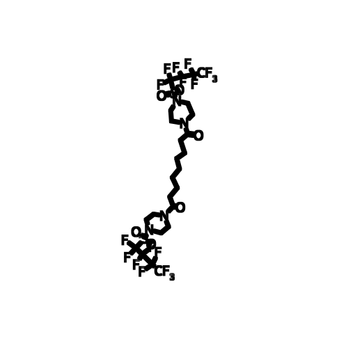 O=C(CCCCCCCC(=O)N1CCN(S(=O)(=O)C(F)(F)C(F)(F)C(F)(F)C(F)(F)F)CC1)N1CCN(S(=O)(=O)C(F)(F)C(F)(F)C(F)(F)C(F)(F)F)CC1